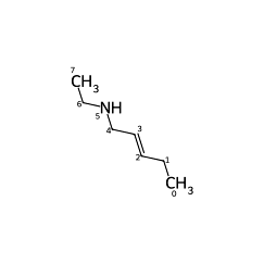 CC/C=C/CNCC